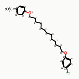 CCOC(=O)c1ccc(OCCCCCCCCCCCCCOc2ccc(Cl)cc2)cc1